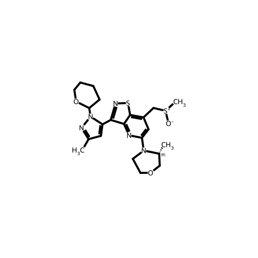 Cc1cc(-c2nsc3c(C[S+](C)[O-])cc(N4CCOC[C@H]4C)nc23)n(C2CCCCO2)n1